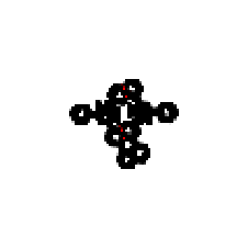 c1ccc(-c2cc(-c3ccc(-c4cccc5cccc(-c6cccc(-c7nc(-c8ccccc8)cc(-c8ccccc8)n7)c6)c45)cc3)nc(-c3ccccc3)n2)cc1